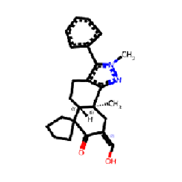 Cn1nc2c(c1-c1ccccc1)CC[C@H]1C3(CCCC3)C(=O)/C(=C\O)C[C@]21C